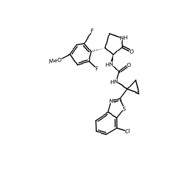 COc1cc(F)c([C@@H]2CNC(=O)[C@H]2NC(=O)NC2(c3nc4cccc(Cl)c4s3)CC2)c(F)c1